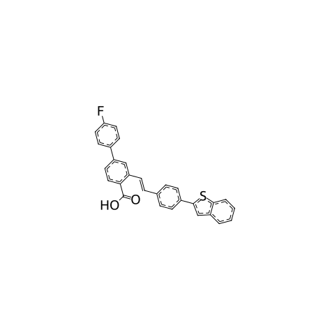 O=C(O)c1ccc(-c2ccc(F)cc2)cc1/C=C/c1ccc(-c2cc3ccccc3s2)cc1